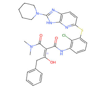 CN(C)C(=O)/C(C(=O)Nc1cccc(Sc2ccc3nc(N4CCCCC4)[nH]c3n2)c1Cl)=C(/O)Cc1ccccc1